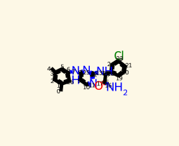 Cc1cc(C)cc(Nc2ccnc(N[C@@H](C(N)=O)c3cccc(Cl)c3)n2)c1